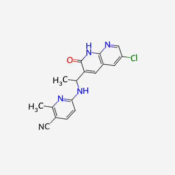 Cc1nc(NC(C)c2cc3cc(Cl)cnc3[nH]c2=O)ccc1C#N